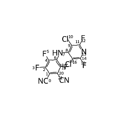 N#Cc1c(F)c(F)c(Nc2c(Cl)c(F)nc(F)c2Cl)c(F)c1C#N